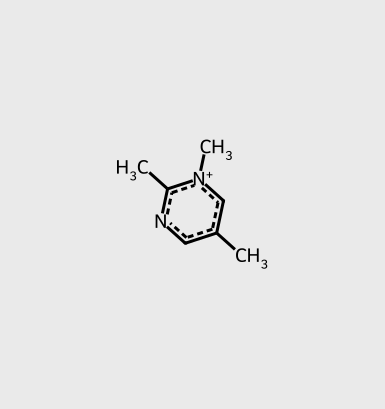 Cc1cnc(C)[n+](C)c1